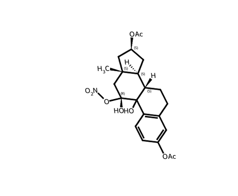 CC(=O)Oc1ccc2c(c1)CC[C@H]1[C@@H]3C[C@H](OC(C)=O)C[C@@]3(C)C[C@@](O)(O[N+](=O)[O-])C21O